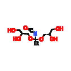 [CH2]CC(N=C=O)(OCC(O)CO)OCC(O)CO